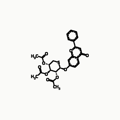 CC(=O)O[C@@H]1[C@@H](OC(C)=O)[C@H](OC(C)=O)CS[C@H]1Oc1ccc2c(=O)cc(-c3ccccc3)oc2c1